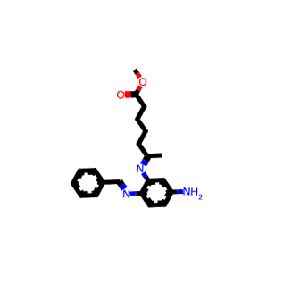 COC(=O)CCCC/C(C)=N/c1cc(N)ccc1/N=C/c1ccccc1